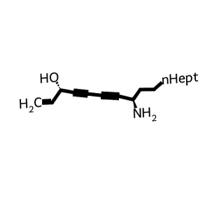 C=C[C@H](O)C#CC#C[C@H](N)CCCCCCCCC